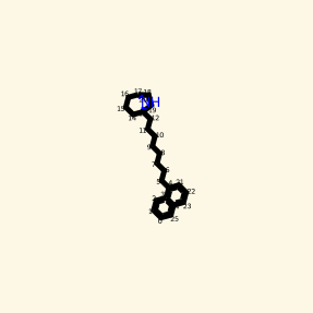 c1ccc2c(CCCCCCCCC34CCCC(CC3)N4)cccc2c1